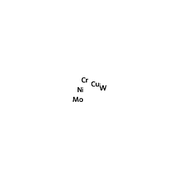 [Cr].[Cu].[Mo].[Ni].[W]